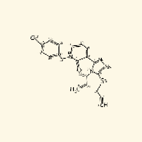 C#CCSc1nnc(-c2cccn(Cc3ccc(Cl)cc3)c2=O)n1CC=C